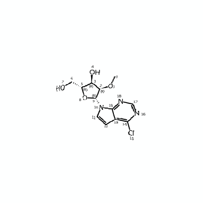 CO[C@@H]1[C@H](O)[C@@H](CO)O[C@H]1n1ccc2c(Cl)ncnc21